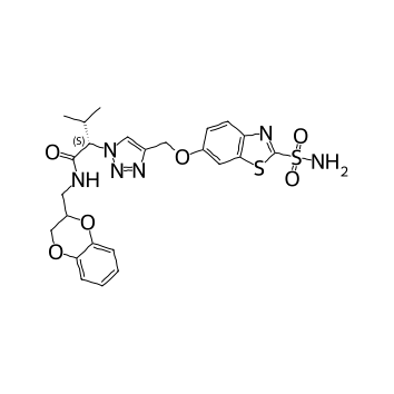 CC(C)[C@@H](C(=O)NCC1COc2ccccc2O1)n1cc(COc2ccc3nc(S(N)(=O)=O)sc3c2)nn1